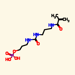 C=C(C)C(=O)NCCCNC(=O)NCCCOP(=O)(O)O